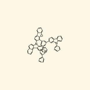 c1ccc(-c2ccc(-c3cc(-c4ccc5c6ccccc6n(-c6ccccc6)c5c4)cc(-c4c(-n5c6cc7ccccc7cc6c6c7ccccc7ccc65)ccc5c4oc4ccccc45)c3)cc2)cc1